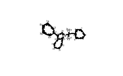 [2H]C([2H])(c1ccccc1)n1cc(-c2ccccc2)c2ccccc21